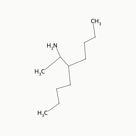 CCCCC(CCCC)C(C)N